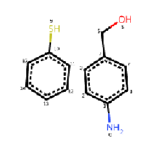 Nc1ccc(CO)cc1.Sc1ccccc1